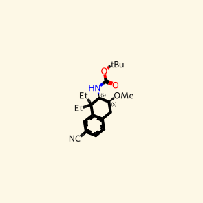 CCC1(CC)c2cc(C#N)ccc2C[C@H](OC)[C@H]1NC(=O)OC(C)(C)C